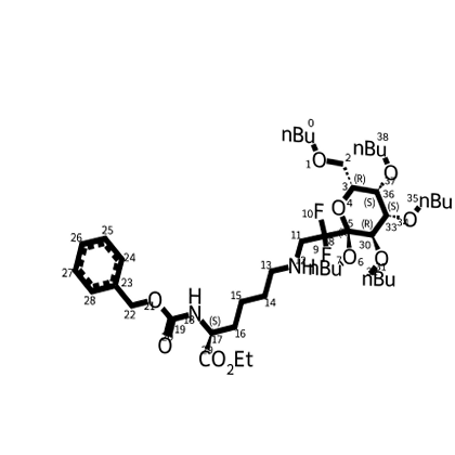 CCCCOC[C@H]1O[C@@](OCCCC)(C(F)(F)CNCCCC[C@H](NC(=O)OCc2ccccc2)C(=O)OCC)[C@H](OCCCC)[C@@H](OCCCC)[C@H]1OCCCC